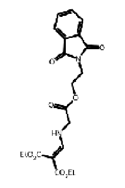 CCOC(=O)C(=CNCC(=O)OCCN1C(=O)c2ccccc2C1=O)C(=O)OCC